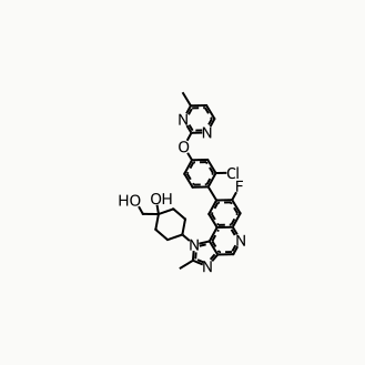 Cc1ccnc(Oc2ccc(-c3cc4c(cc3F)ncc3nc(C)n(C5CCC(O)(CO)CC5)c34)c(Cl)c2)n1